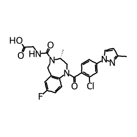 Cc1ccn(-c2ccc(C(=O)N3C[C@@H](C)N(C(=O)NCC(=O)O)Cc4cc(F)ccc43)c(Cl)c2)n1